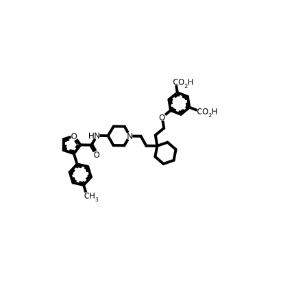 Cc1ccc(-c2ccoc2C(=O)NC2CCN(CCC3(CCOc4cc(C(=O)O)cc(C(=O)O)c4)CCCCC3)CC2)cc1